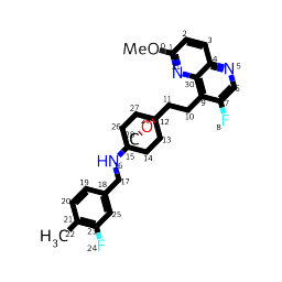 COc1ccc2ncc(F)c(CCC34CCC(NCc5ccc(C)c(F)c5)(CC3)CO4)c2n1